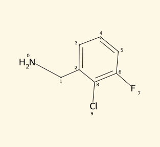 NCc1c[c]cc(F)c1Cl